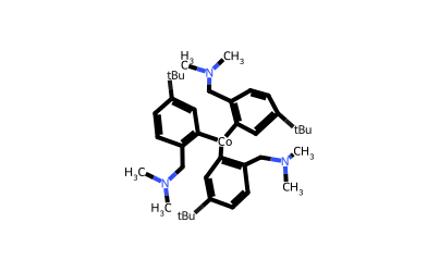 CN(C)Cc1ccc(C(C)(C)C)c[c]1[Co]([c]1cc(C(C)(C)C)ccc1CN(C)C)[c]1cc(C(C)(C)C)ccc1CN(C)C